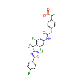 CC(c1ccc(CC(=O)Nc2cc(F)c(C3(c4noc(-c5ccc(F)cc5)n4)CC3)c(Cl)c2)cc1)[SH](=O)=O